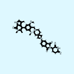 COc1cc(-c2c(C)n(C)c(=O)c3[nH]cc(C)c23)cc(OC)c1CN1CCC2(CC1)CN(c1ccc3c(c1)C(=O)N(C1CCC(=O)NC1=O)C3=O)C2